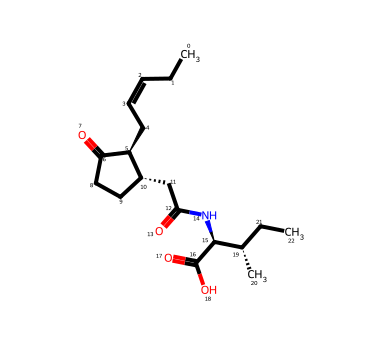 CC/C=C\C[C@@H]1C(=O)CC[C@H]1CC(=O)N[C@H](C(=O)O)[C@@H](C)CC